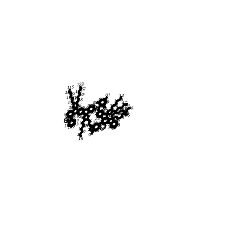 CCCCCCCCC1(CCCCCCCC)c2cc(N(c3ccc4c(c3)C(CCCCCCC)(CCCCCCC)c3c5c(c6oc7ccccc7c6c3-4)-c3ccccc3C5(CCCCCCC)CCCCCCC)c3c(C)cc(C)cc3C)ccc2-c2cc3c(cc21)-c1c(ccc2oc4ccccc4c12)C3(CCCCCCCC)CCCCCCCC